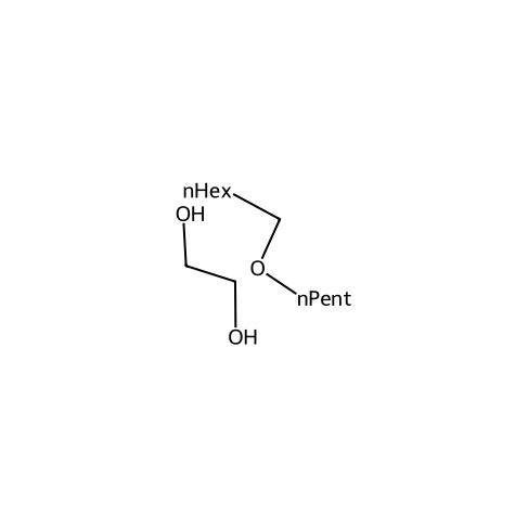 CCCCCCCOCCCCC.OCCO